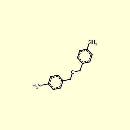 [SiH3]c1ccc(COCc2ccc([SiH3])cc2)cc1